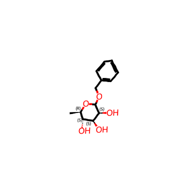 C[C@H]1OC(OCc2ccccc2)[C@@H](O)[C@@H](O)[C@@H]1O